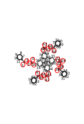 O=C(OOC(=O)c1ccccc1)OC1CCC(C(C2CCC(OC(=O)OOC(=O)c3ccccc3)CC2)(C2CCC(OC(=O)OOC(=O)c3ccccc3)CC2)C2CCC(OC(=O)OOC(=O)c3ccccc3)CC2)CC1